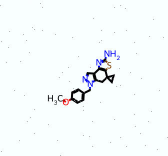 COc1ccc(Cn2ncc3c2CC2(CC2)c2sc(N)nc2-3)cc1